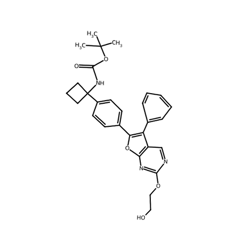 CC(C)(C)OC(=O)NC1(c2ccc(-c3oc4nc(OCCO)ncc4c3-c3ccccc3)cc2)CCC1